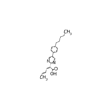 CC=CC=C(C(=O)O)c1ncc(-c2ccc(CCCCC)cc2)cn1